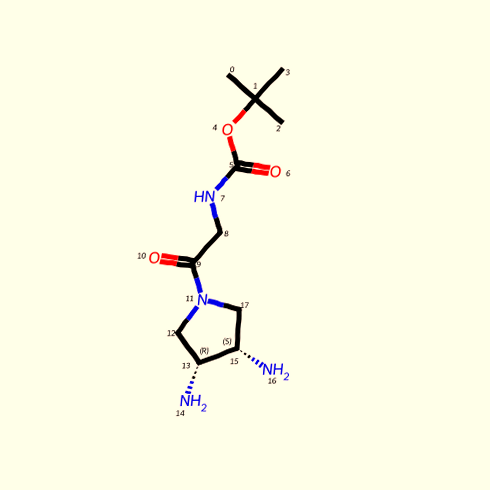 CC(C)(C)OC(=O)NCC(=O)N1C[C@@H](N)[C@@H](N)C1